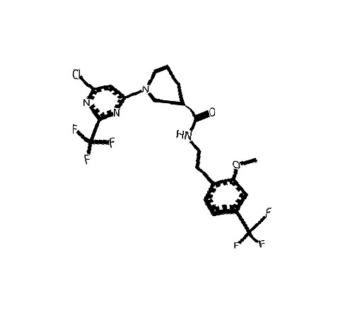 COc1cc(C(F)(F)F)ccc1CCNC(=O)[C@@H]1CCCN(c2cc(Cl)nc(C(F)(F)F)n2)C1